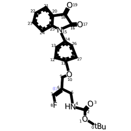 CC(C)(C)OC(=O)NC/C(=C\F)COc1ccc(N2C(=O)C(=O)c3ccccc32)cc1